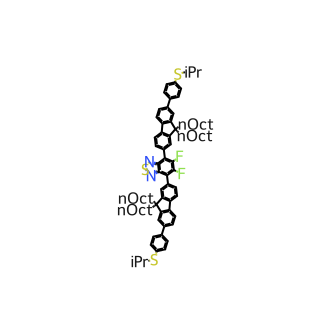 CCCCCCCCC1(CCCCCCCC)c2cc(-c3ccc(SC(C)C)cc3)ccc2-c2ccc(-c3c(F)c(F)c(-c4ccc5c(c4)C(CCCCCCCC)(CCCCCCCC)c4cc(-c6ccc(SC(C)C)cc6)ccc4-5)c4nsnc34)cc21